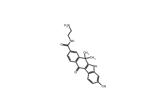 CC1(C)c2cc(C(=O)NCCN)ccc2C(=O)c2c1[nH]c1cc(C#N)ccc21